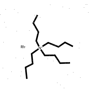 CCCC[N+](CCCC)(CCCC)CCCC.[Rh]